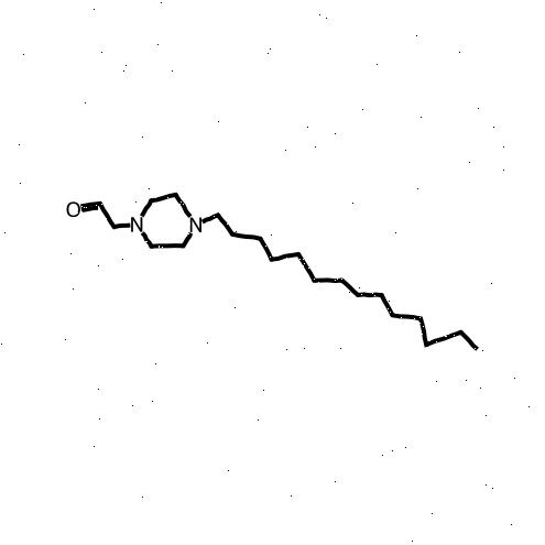 CCCCCCCCCCCCCCN1CCN(CC=O)CC1